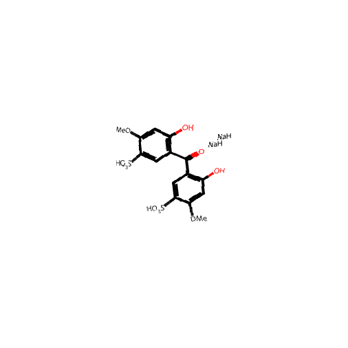 COc1cc(O)c(C(=O)c2cc(S(=O)(=O)O)c(OC)cc2O)cc1S(=O)(=O)O.[NaH].[NaH]